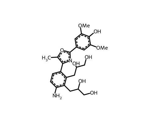 COc1cc(-c2nc(-c3ccc(N)c(CC(O)CO)c3CC(O)CO)c(C)o2)cc(OC)c1O